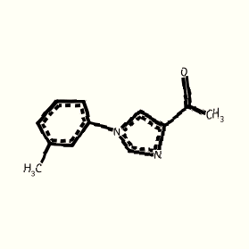 CC(=O)c1cn(-c2cccc(C)c2)cn1